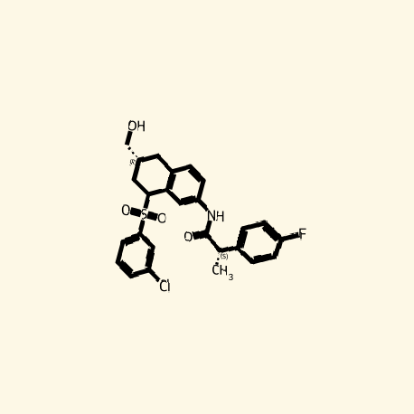 C[C@H](C(=O)Nc1ccc2c(c1)C(S(=O)(=O)c1cccc(Cl)c1)C[C@H](CO)C2)c1ccc(F)cc1